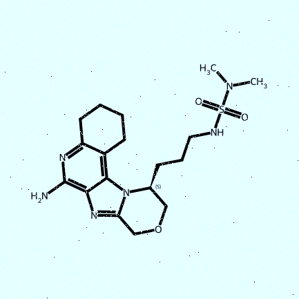 CN(C)S(=O)(=O)NCCC[C@H]1COCc2nc3c(N)nc4c(c3n21)CCCC4